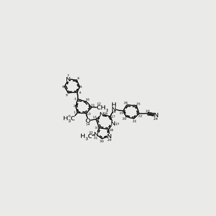 Cc1cc(-c2ccncc2)cc(C)c1Oc1nc(Nc2ccc(C#N)cc2)nc2ncn(C)c12